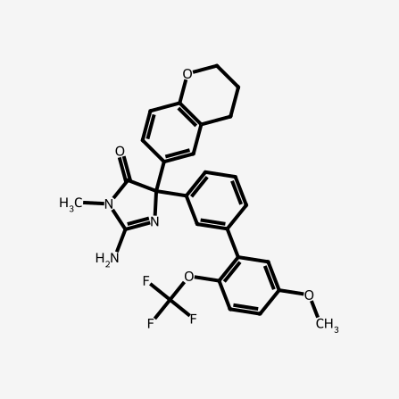 COc1ccc(OC(F)(F)F)c(-c2cccc(C3(c4ccc5c(c4)CCCO5)N=C(N)N(C)C3=O)c2)c1